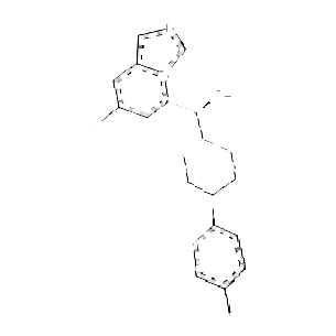 O[C@H](c1cc(Cl)cc2cncn12)[C@H]1CC[C@H](c2ccc(Cl)cc2)CC1